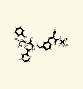 CC(C)(C)NC(=O)C(C#N)=Cc1cccc(CC[C@H](NC(=O)c2cnccn2)C(=O)N[C@@H](Cc2ccccc2)B(O)O)c1